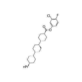 CCC[C@H]1CC[C@H]([C@H]2CC[C@H]([C@H]3CC[C@H](C(=O)Oc4ccc(F)c(Cl)c4)CC3)CC2)CC1